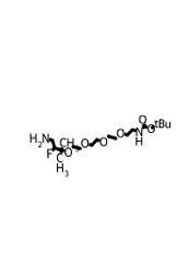 CC(C)(C)OC(=O)NCCOCCOCCOCCOC(C)(C)C(F)CN